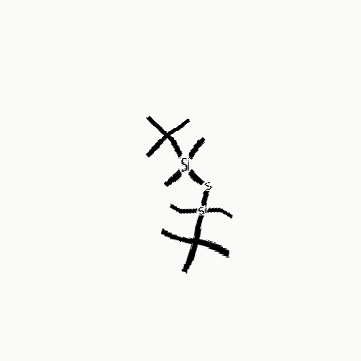 CC(C)(C)[Si](C)(C)S[Si](C)(C)C(C)(C)C